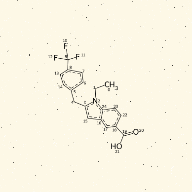 CCn1c(Cc2ccc(C(F)(F)F)cc2)cc2cc(C(=O)O)ccc21